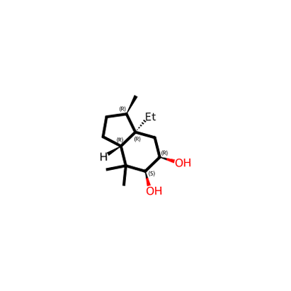 CC[C@]12C[C@@H](O)[C@@H](O)C(C)(C)[C@@H]1CC[C@H]2C